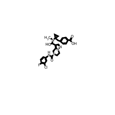 CN(C(O)c1cnn2c1CN(C(=O)Nc1ccc(F)c(Cl)c1)CC2)C1(Cc2ccc(C(=O)O)cc2)CC1